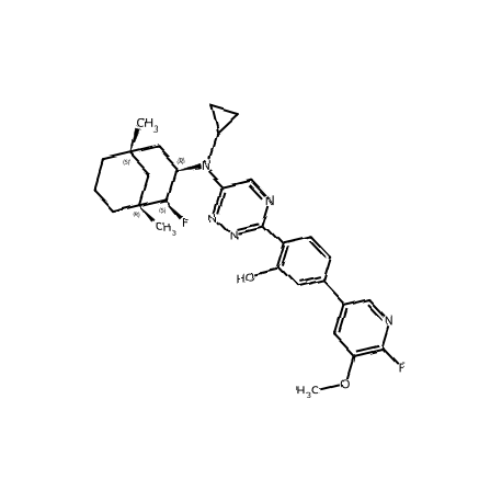 COc1cc(-c2ccc(-c3ncc(N(C4CC4)[C@@H]4C[C@@]5(C)CCC[C@](C)(C5)[C@@H]4F)nn3)c(O)c2)cnc1F